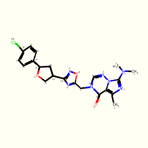 Cc1nc(N(C)C)n2ncn(Cc3nc(C4COC(c5ccc(Cl)cc5)C4)no3)c(=O)c12